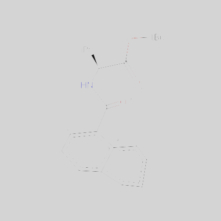 CC(C)[C@H](NC(=O)c1cccc2ccccc12)C(=O)OC(C)(C)C